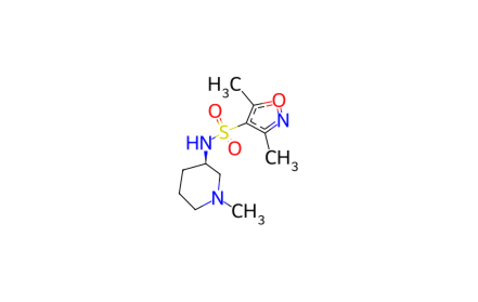 Cc1noc(C)c1S(=O)(=O)N[C@@H]1CCCN(C)C1